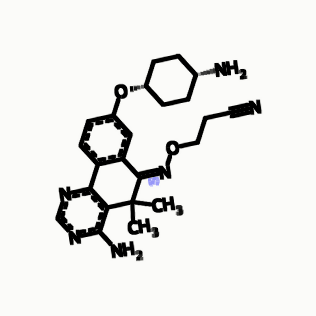 CC1(C)/C(=N/OCCC#N)c2cc(O[C@H]3CC[C@@H](N)CC3)ccc2-c2ncnc(N)c21